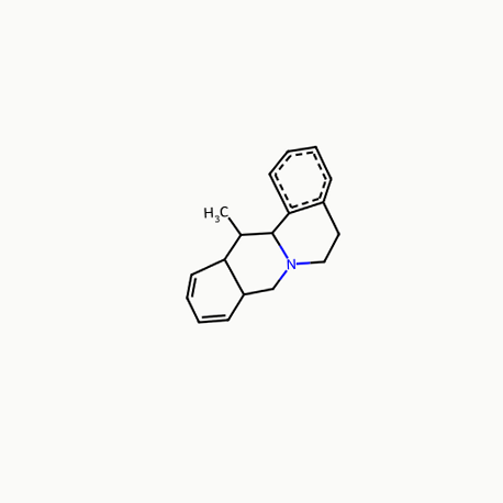 CC1C2C=CC=CC2CN2CCc3ccccc3C12